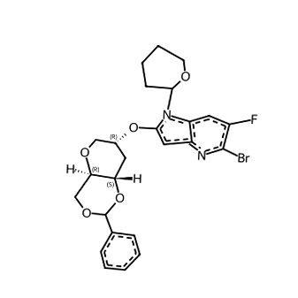 Fc1cc2c(cc(O[C@H]3CO[C@@H]4COC(c5ccccc5)O[C@H]4C3)n2C2CCCCO2)nc1Br